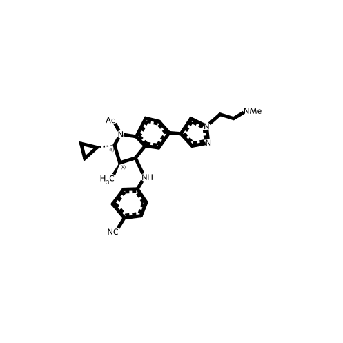 CNCCn1cc(-c2ccc3c(c2)C(Nc2ccc(C#N)cc2)[C@@H](C)[C@H](C2CC2)N3C(C)=O)cn1